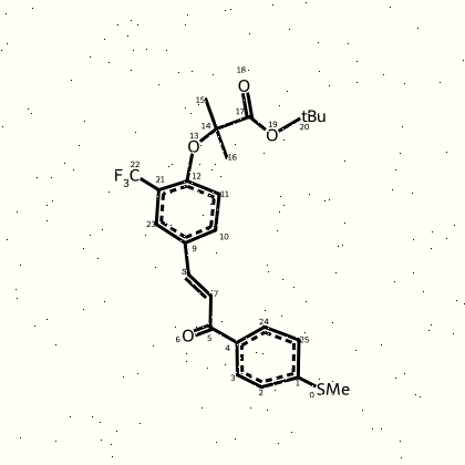 CSc1ccc(C(=O)/C=C/c2ccc(OC(C)(C)C(=O)OC(C)(C)C)c(C(F)(F)F)c2)cc1